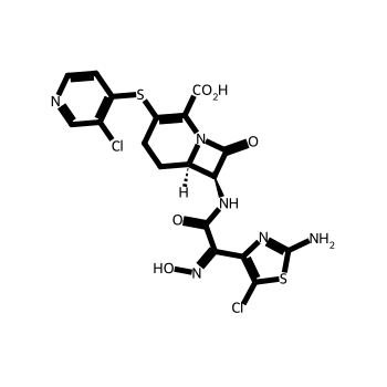 Nc1nc(/C(=N/O)C(=O)N[C@@H]2C(=O)N3C(C(=O)O)=C(Sc4ccncc4Cl)CC[C@H]23)c(Cl)s1